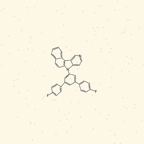 Fc1ccc(-c2cc(-c3ccc(F)cc3)cc(-n3c4ccncc4c4c5ccccc5ccc43)c2)cc1